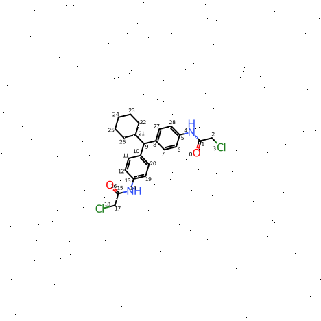 O=C(CCl)Nc1ccc(C(c2ccc(NC(=O)CCl)cc2)C2CCCCC2)cc1